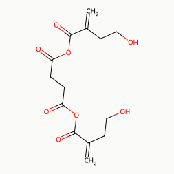 C=C(CCO)C(=O)OC(=O)CCC(=O)OC(=O)C(=C)CCO